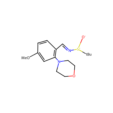 COc1ccc(C=N[S+]([O-])C(C)(C)C)c(N2CCOCC2)c1